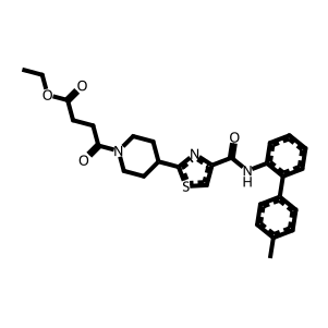 CCOC(=O)CCC(=O)N1CCC(c2nc(C(=O)Nc3ccccc3-c3ccc(C)cc3)cs2)CC1